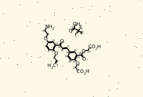 C=CCOc1ccc(OCCN)cc1C(=O)/C=C/c1ccc(OCC(=O)O)c(C(=O)OCC(=O)O)c1.O=C(O)C(F)(F)F